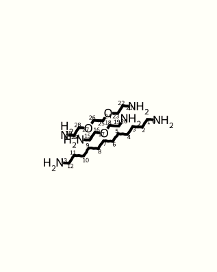 NCCCCCCCCCCCCN.NCCOCCN.NCCOCCOCCN